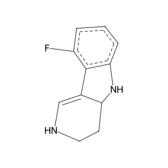 Fc1cccc2c1C1=CNCCC1N2